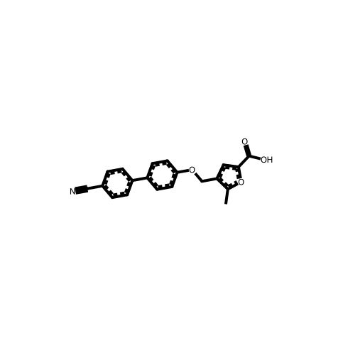 Cc1oc(C(=O)O)cc1COc1ccc(-c2ccc(C#N)cc2)cc1